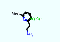 COc1cccc(CCN)n1.Cl.Cl